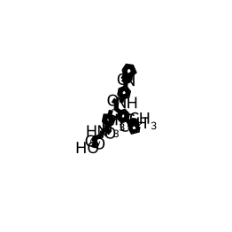 CC1(C)[C@H]2C=C(c3ccc([C@H](Cc4ccc(C(=O)NCCS(=O)(=O)O)cc4)C(=O)Nc4ccc(-c5nc6ccccc6o5)cc4)cc3)[C@@]1(C)CC2